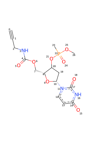 C#CCNC(=O)OC[C@H]1O[C@@H](n2ccc(=O)[nH]c2=O)CC1OP(C)(=O)OC